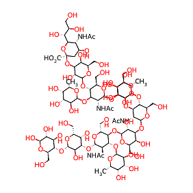 CC(=O)N[C@H]1[C@H](O[C@H]2[C@@H](O)[C@@H](CO)O[C@@H](O[C@H]3[C@H](O)[C@@H](O)[C@H](O)O[C@@H]3CO)[C@@H]2O)O[C@H](CO)[C@@H](O[C@@H]2O[C@H](CO)[C@H](O)[C@H](O[C@@H]3O[C@H](CO)[C@@H](O[C@@H]4O[C@H](CO)[C@H](O)[C@H](O[C@@H]5O[C@H](CO)[C@@H](O[C@@H]6O[C@H](CO)[C@H](O)[C@H](O[C@]7(C(=O)O)C[C@H](O)[C@@H](NC(C)=O)[C@H]([C@H](O)[C@H](O)CO)O7)[C@H]6O)[C@H](O[C@@H]6O[C@@H](C)[C@@H](O)[C@@H](O)[C@@H]6O)[C@H]5NC(C)=O)[C@H]4O)[C@H](O[C@@H]4O[C@@H](C)[C@@H](O)[C@@H](O)[C@@H]4O)[C@H]3NC(C)=O)[C@H]2O)[C@@H]1O[C@@H]1O[C@@H](C)[C@@H](O)[C@@H](O)[C@@H]1O